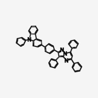 c1ccc(-c2cc(-c3ccccc3)n3nc(-c4ccc(-c5ccc6c(c5)c5ccccc5n6-c5ccccc5)cc4)c(-c4ccccc4)c3n2)cc1